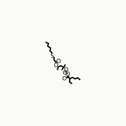 CCCCCCSCCC(=O)OC(C)CC(C)(C)OOOC(=O)C(CC)CCCC